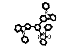 O=c1c2ccccc2nc(-c2cc(-c3ccc4c(c3)c3ccccc3n4-c3ccccc3)cc(-c3ccc4c5ccccc5n(-c5ccccc5)c4c3)c2)n1-c1ccccc1